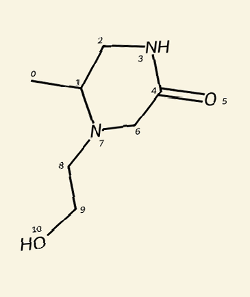 CC1CNC(=O)CN1CCO